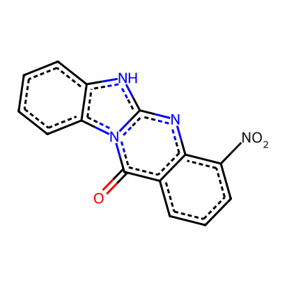 O=c1c2cccc([N+](=O)[O-])c2nc2[nH]c3ccccc3n12